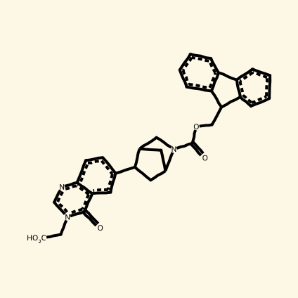 O=C(O)Cn1cnc2ccc(C3CC4CC3CN4C(=O)OCC3c4ccccc4-c4ccccc43)cc2c1=O